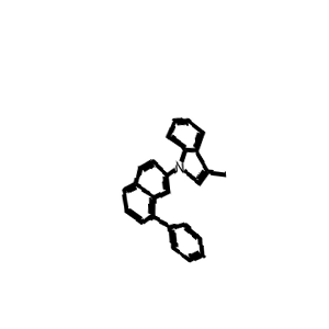 Cc1cn(-c2ccc3cccc(-c4ccccc4)c3c2)c2ccccc12